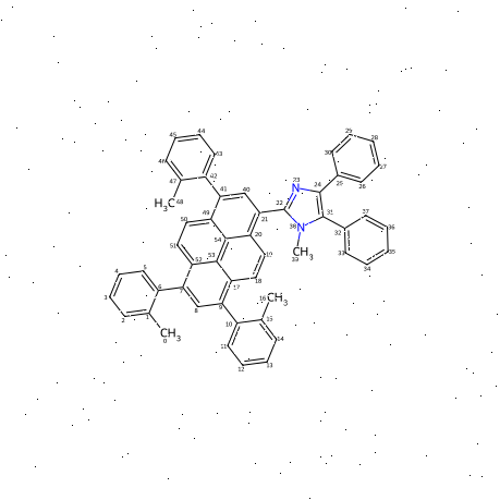 Cc1ccccc1-c1cc(-c2ccccc2C)c2ccc3c(-c4nc(-c5ccccc5)c(-c5ccccc5)n4C)cc(-c4ccccc4C)c4ccc1c2c43